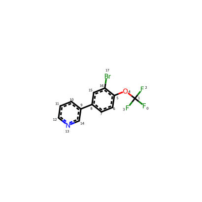 FC(F)(F)Oc1ccc(-c2cccnc2)cc1Br